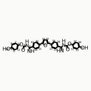 N=C(NC(=O)Oc1ccc(O)cc1)c1ccc(-c2ccc(-c3ccc(C(=N)NC(=O)Oc4ccc(O)cc4)cc3)o2)cc1